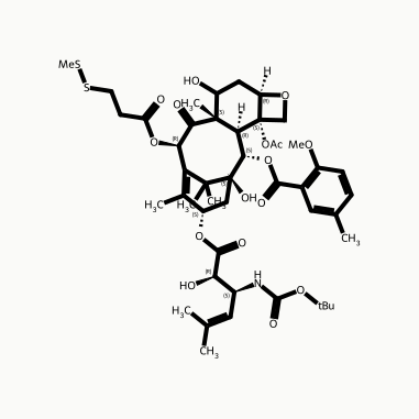 COc1ccc(C)cc1C(=O)O[C@H]1[C@@H]2[C@]3(OC(C)=O)CO[C@@H]3CC(O)[C@@]2(C)C(=O)[C@H](OC(=O)CCSSC)C2=C(C)[C@@H](OC(=O)[C@H](O)[C@H](C=C(C)C)NC(=O)OC(C)(C)C)C[C@]1(O)C2(C)C